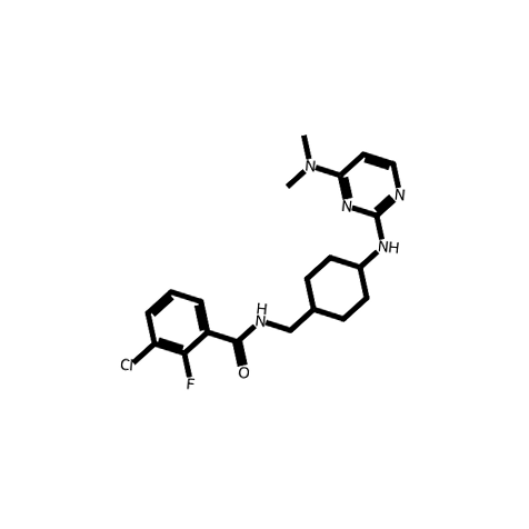 CN(C)c1ccnc(NC2CCC(CNC(=O)c3cccc(Cl)c3F)CC2)n1